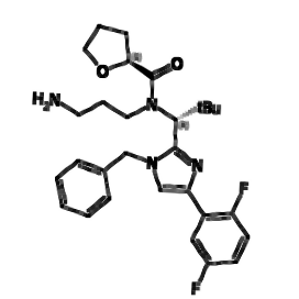 CC(C)(C)[C@H](c1nc(-c2cc(F)ccc2F)cn1Cc1ccccc1)N(CCCN)C(=O)[C@@H]1CCCO1